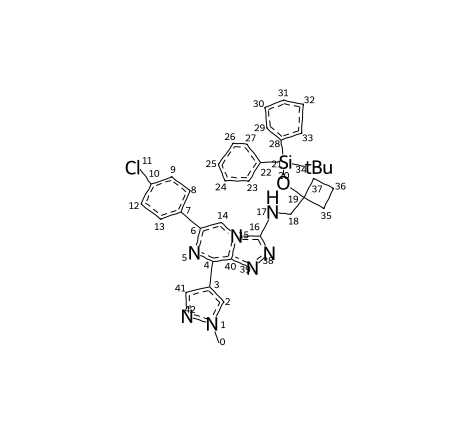 Cn1cc(-c2nc(-c3ccc(Cl)cc3)cn3c(NCC4(O[Si](c5ccccc5)(c5ccccc5)C(C)(C)C)CCC4)nnc23)cn1